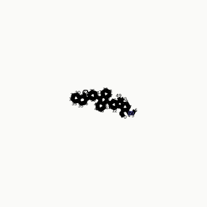 C=Cc1c(/C=C\C)ccc2c1-c1ccc(-c3c4ccccc4c(-c4ccc5oc6c7ccccc7ccc6c5c4)c4ccccc34)cc1C2(C)C